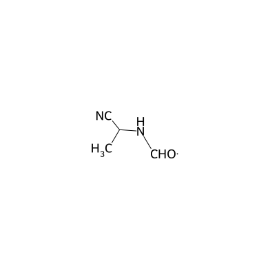 CC(C#N)N[C]=O